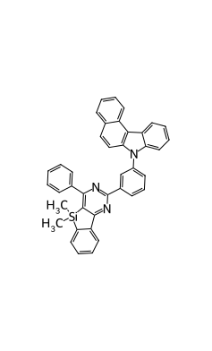 C[Si]1(C)c2ccccc2-c2nc(-c3cccc(-n4c5ccccc5c5c6ccccc6ccc54)c3)nc(-c3ccccc3)c21